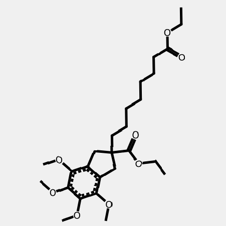 CCOC(=O)CCCCCCCC1(C(=O)OCC)Cc2c(c(OC)c(OC)c(OC)c2OC)C1